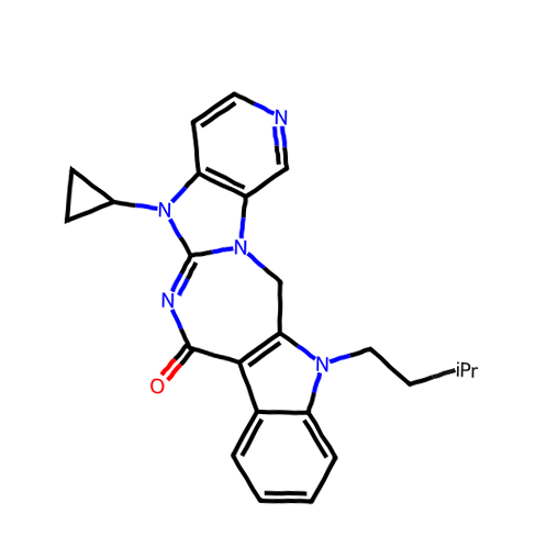 CC(C)CCn1c2c(c3ccccc31)C(=O)N=C1N(C2)c2cnccc2N1C1CC1